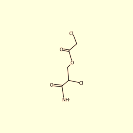 [NH]C(=O)C(Cl)COC(=O)CCl